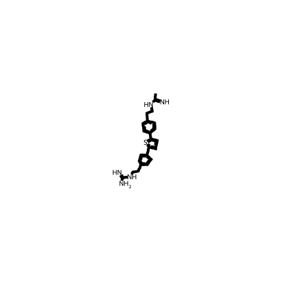 CC(=N)NCCc1ccc(-c2ccc(-c3ccc(CCNC(=N)N)cc3)s2)cc1